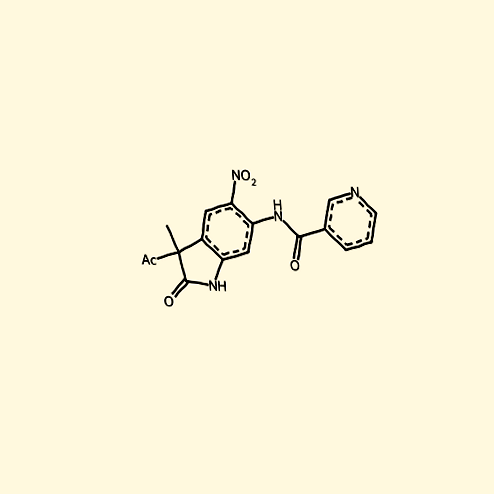 CC(=O)C1(C)C(=O)Nc2cc(NC(=O)c3cccnc3)c([N+](=O)[O-])cc21